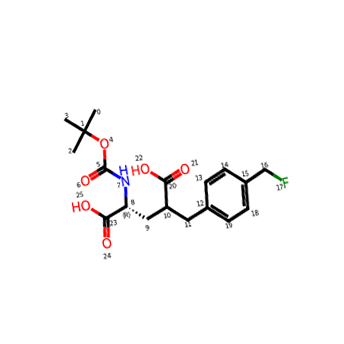 CC(C)(C)OC(=O)N[C@H](CC(Cc1ccc(CF)cc1)C(=O)O)C(=O)O